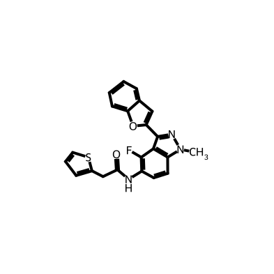 Cn1nc(-c2cc3ccccc3o2)c2c(F)c(NC(=O)Cc3cccs3)ccc21